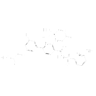 CC(C)COc1cc(F)cc(-c2ccc(C(=O)NS(=O)(=O)c3cccc(N)n3)c(N3CC(C)OCC3(C)C)n2)c1